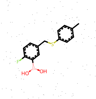 Cc1ccc(SCc2ccc(F)c(B(O)O)c2)cc1